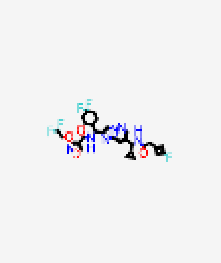 O=C(CC12CC(F)(C1)C2)N[C@@H](c1cnn2cc([C@@H](NC(=O)c3conc3OCC(F)F)C3CCC(F)(F)CC3)nc2c1)C1CC1